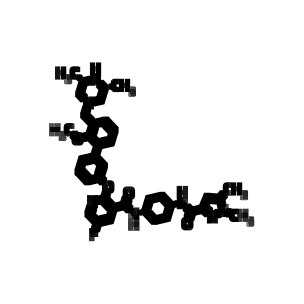 COc1c(CN2C[C@@H](C)N[C@@H](C)C2)cccc1-c1cccc(Oc2ncc(F)cc2C(=O)N[C@H]2CC[C@H](NC(=O)c3cc(C)n(C)n3)CC2)c1